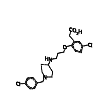 O=C(O)Cc1cc(Cl)ccc1OCCCNC1CCN(Cc2ccc(Cl)cc2)CC1